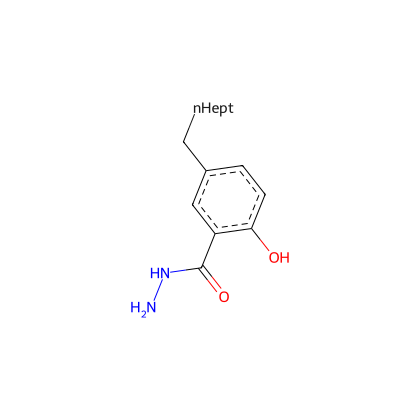 CCCCCCCCc1ccc(O)c(C(=O)NN)c1